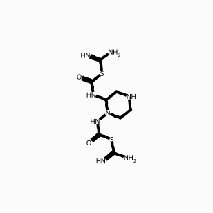 N=C(N)SC(=O)NC1CNCCN1NC(=O)SC(=N)N